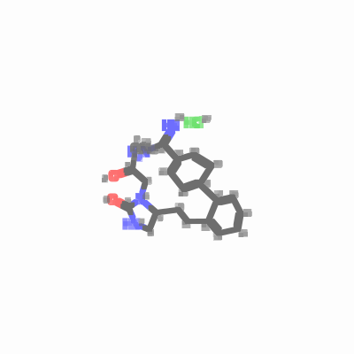 COC(=O)CN1C(=O)NCC1CCc1ccccc1-c1ccc(C(=N)N)cc1.Cl